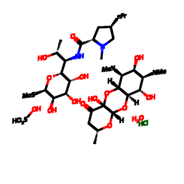 CCC[C@@H]1C[C@@H](C(=O)N[C@@H]([C@H]2O[C@H](SC)[C@H](O)[C@@H](O)[C@H]2O)[C@@H](C)O)N(C)C1.CN[C@@H]1[C@H](O)[C@H](NC)[C@H]2O[C@@]3(O)C(=O)C[C@@H](C)O[C@H]3O[C@@H]2[C@H]1O.Cl.O.O=S(=O)(O)O